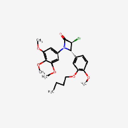 CCCCOc1cc([C@H]2[C@H](Br)C(=O)N2c2cc(OC)c(OC)c(OC)c2)ccc1OC